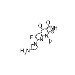 NC1CCN(c2nc3c(cc2F)c(=O)c2c(=O)[nH]oc2n3C2CC2)C1